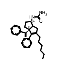 C=C(c1ccccc1)[C@@]12CC[C@@H](NC(N)=O)C1CC(CCCCCC)=C2c1ccccc1